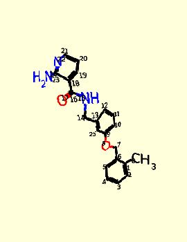 Cc1ccccc1COc1cccc(CNC(=O)c2cccnc2N)c1